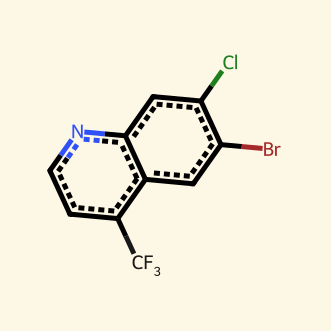 FC(F)(F)c1ccnc2cc(Cl)c(Br)cc12